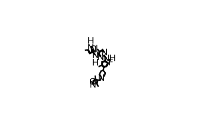 Cc1cc(Nc2nc(Nc3cc(C)c(C4CCN(Cc5c(C)noc5C)CC4)cc3F)ncc2Cl)n[nH]1